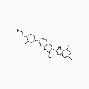 Cc1cn2cc(-c3cc4ccc(N5CCN(CCF)C(C)C5)cc4oc3=O)nc2c(C)n1